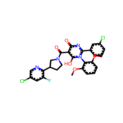 COc1cccc(OC)c1-n1c(-c2cccc(Cl)c2)nc(=O)c(C(=O)N2CCC(c3ncc(Cl)cc3F)C2)c1O